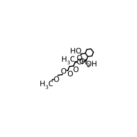 C=C(C)C(=O)CC(=O)OCCOCC.O=C(O)C1CCCCC1C(=O)O